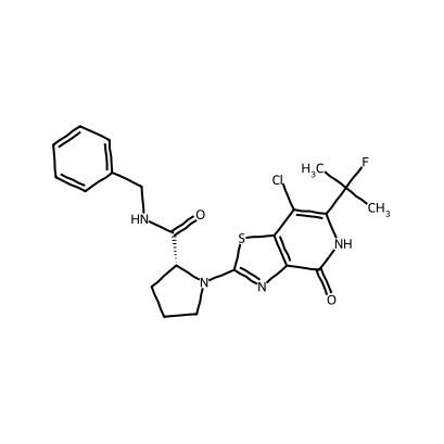 CC(C)(F)c1[nH]c(=O)c2nc(N3CCC[C@@H]3C(=O)NCc3ccccc3)sc2c1Cl